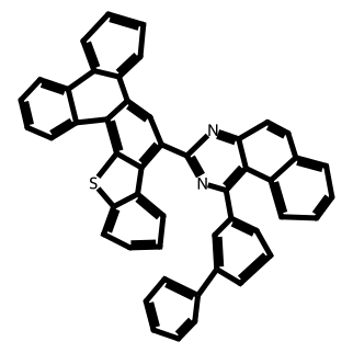 c1ccc(-c2cccc(-c3nc(-c4cc5c6ccccc6c6ccccc6c5c5sc6ccccc6c45)nc4ccc5ccccc5c34)c2)cc1